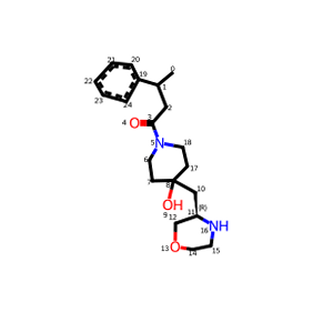 CC(CC(=O)N1CCC(O)(C[C@@H]2CO[CH]CN2)CC1)c1ccccc1